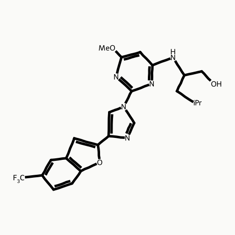 COc1cc(NC(CO)CC(C)C)nc(-n2cnc(-c3cc4cc(C(F)(F)F)ccc4o3)c2)n1